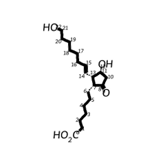 O=C(O)CCCCCC[C@H]1C(=O)C[C@@H](O)[C@H]1C=CCCCCCCO